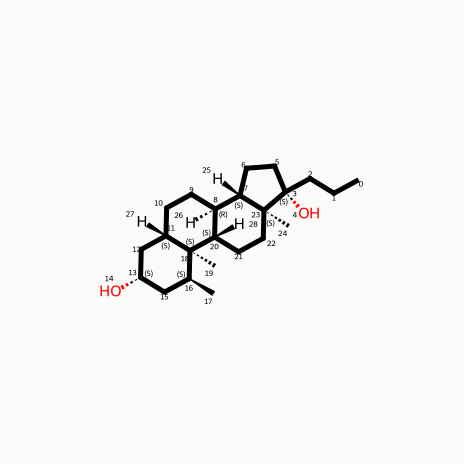 CCC[C@]1(O)CC[C@H]2[C@@H]3CC[C@H]4C[C@@H](O)C[C@H](C)[C@]4(C)[C@H]3CC[C@@]21C